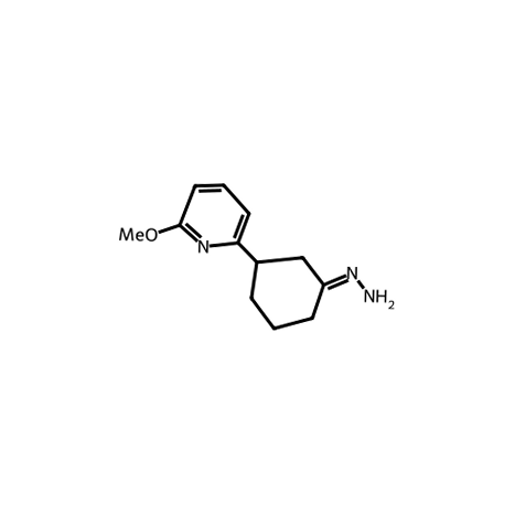 COc1cccc(C2CCCC(=NN)C2)n1